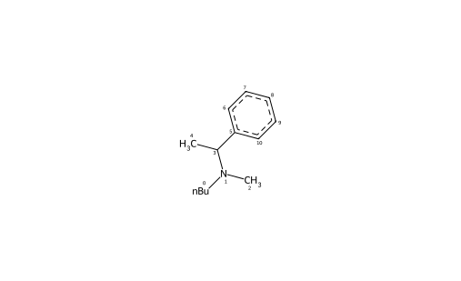 CCCCN(C)C(C)c1ccccc1